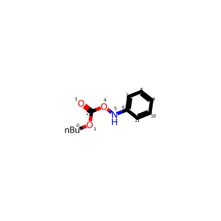 CCCCOC(=O)ONc1ccccc1